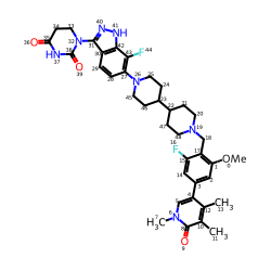 COc1cc(-c2cn(C)c(=O)c(C)c2C)cc(F)c1CN1CCC(C2CCN(c3ccc4c(N5CCC(=O)NC5=O)n[nH]c4c3F)CC2)CC1